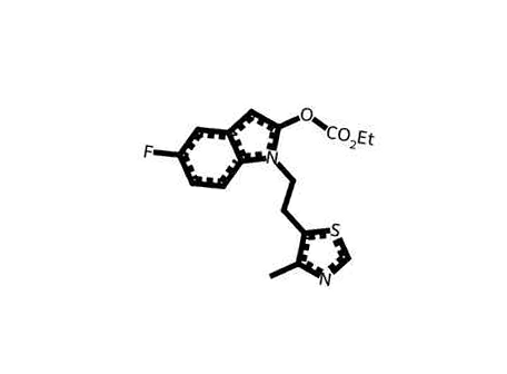 CCOC(=O)Oc1cc2cc(F)ccc2n1CCc1scnc1C